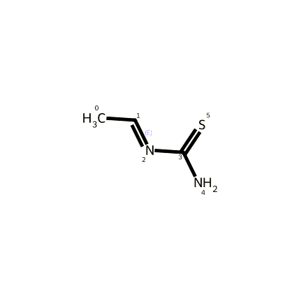 C/C=N/C(N)=S